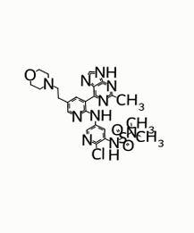 Cc1nc(-c2cc(CCN3CCOCC3)cnc2Nc2cnc(Cl)c(NS(=O)(=O)N(C)C)c2)c2nc[nH]c2n1